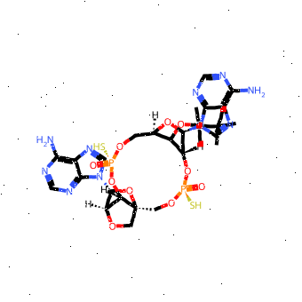 CC(C)(C)[Si](C)(C)OC1[C@H]2O[P@@](=O)(S)OC[C@@]34CO[C@@H]([C@H](n5cnc6c(N)ncnc65)O3)[C@@H]4O[P@](=O)(S)OC[C@H]1O[C@H]2n1cnc2c(N)ncnc21